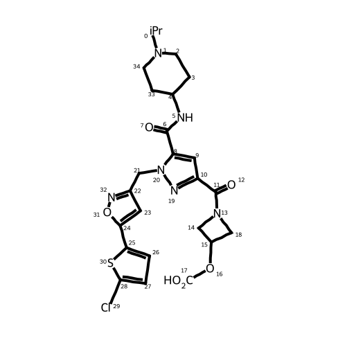 CC(C)N1CCC(NC(=O)c2cc(C(=O)N3CC(OC(=O)O)C3)nn2Cc2cc(-c3ccc(Cl)s3)on2)CC1